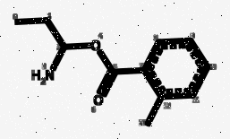 CCC(N)OC(=O)c1ccccc1C